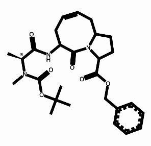 C[C@@H](C(=O)NC1CC=CCC2CCC(C(=O)OCc3ccccc3)N2C1=O)N(C)C(=O)OC(C)(C)C